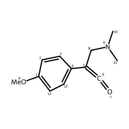 COc1ccc(C(=C=O)CN(C)C)cc1